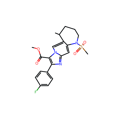 COC(=O)c1c(-c2ccc(F)cc2)nc2cc3c(cn12)C(C)CCCN3S(C)(=O)=O